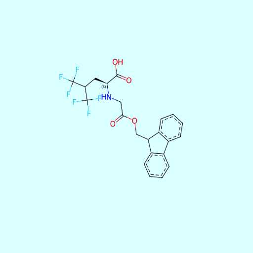 O=C(CN[C@@H](CC(C(F)(F)F)C(F)(F)F)C(=O)O)OCC1c2ccccc2-c2ccccc21